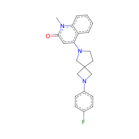 Cn1c(=O)cc(N2CCC3(CN(c4ccc(F)cc4)C3)C2)c2ccccc21